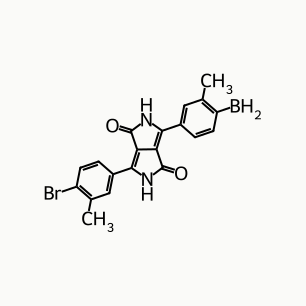 Bc1ccc(C2=C3C(=O)NC(c4ccc(Br)c(C)c4)=C3C(=O)N2)cc1C